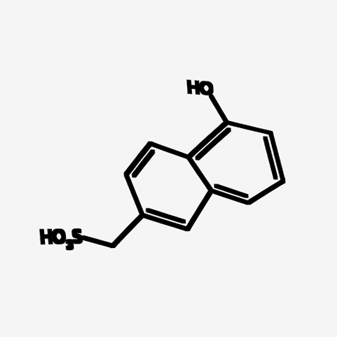 O=S(=O)(O)Cc1ccc2c(O)cccc2c1